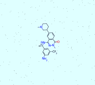 C[C@@H](Nc1nn(C)c(=O)c2ccc(C3CCCN(C)C3)cc12)c1cc(N)cc(C(F)(F)F)c1